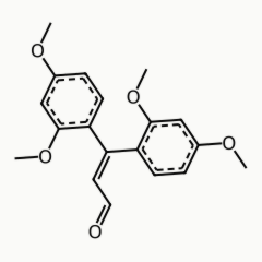 COc1ccc(C(=CC=O)c2ccc(OC)cc2OC)c(OC)c1